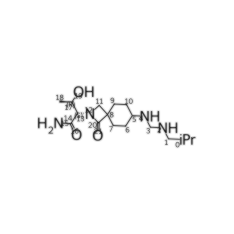 CC(C)CNCNC1CCC2(CC1)CN([C@H](C(N)=O)[C@@H](C)O)C2=O